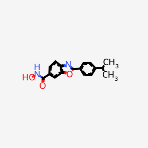 CC(C)c1ccc(-c2nc3ccc(C(=O)NO)cc3o2)cc1